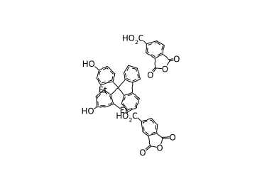 CCc1cc(O)ccc1C1(c2ccc(O)cc2CC)c2ccccc2-c2ccccc21.O=C(O)c1ccc2c(c1)C(=O)OC2=O.O=C(O)c1ccc2c(c1)C(=O)OC2=O